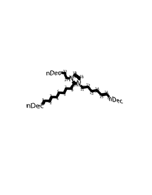 CCCCCCCCCCCCCCCCCCc1n(CCCCCCCCCCCCCCCC)cc[n+]1CCCCCCCCCCCC